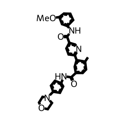 COc1cccc(NC(=O)c2ccc(-c3cc(C(=O)Nc4ccc(N5CCOCC5)cc4)ccc3C)nc2)c1